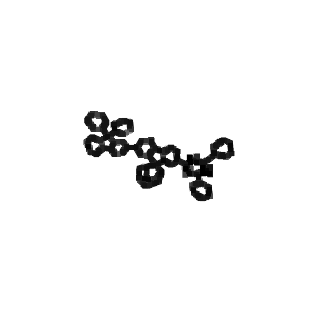 c1ccc(-c2nc(-c3ccccc3)nc(-c3ccc4c(c3)C3(c5cc(-c6ccc7c(c6)C(c6ccccc6)(c6ccccc6)c6ccccc6-7)ccc5-4)C4CC5CC(C4)CC3C5)n2)cc1